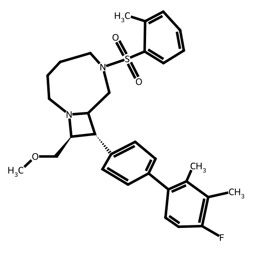 COC[C@@H]1[C@@H](c2ccc(-c3ccc(F)c(C)c3C)cc2)C2CN(S(=O)(=O)c3ccccc3C)CCCCN21